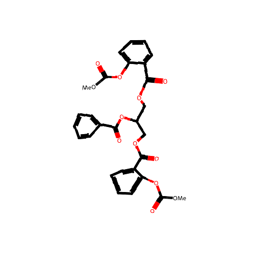 COC(=O)Oc1ccccc1C(=O)OCC(COC(=O)c1ccccc1OC(=O)OC)OC(=O)c1ccccc1